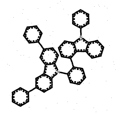 c1ccc(-c2ccc3c(c2)c2cc(-c4ccccc4)ccc2n3-c2ccccc2-c2cccc3c2c2ccccc2n3-c2ccccc2)cc1